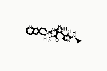 Cn1c(N2CCC3(CC2)Cc2cccnc2C3)nc2n[nH]c(-c3ccnc(NC4CC4)c3Cl)c2c1=O